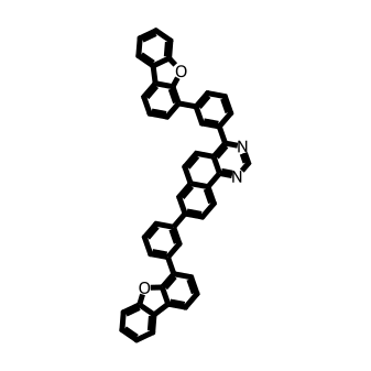 c1cc(-c2ccc3c(ccc4c(-c5cccc(-c6cccc7c6oc6ccccc67)c5)ncnc43)c2)cc(-c2cccc3c2oc2ccccc23)c1